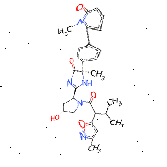 Cc1cc(C(C(=O)N2C[C@H](O)C[C@H]2C2=NC(=O)[C@@](C)(c3ccc(-c4cccc(=O)n4C)cc3)N2)C(C)C)on1